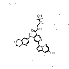 CC(C)(O)[C@H](F)CNC(=O)c1cnc(-c2ccc3cc(C#N)cnn23)cc1Nc1cnc2c(c1)COCC2